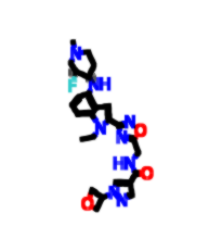 CCn1c(-c2noc(CNC(=O)c3cnn(C4COC4)c3)n2)cc2c(N[C@@H]3CCN(C)C[C@@H]3F)cccc21